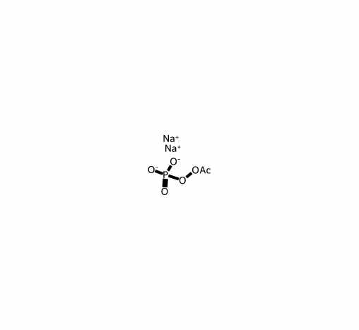 CC(=O)OOP(=O)([O-])[O-].[Na+].[Na+]